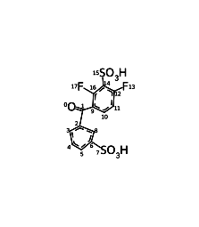 O=C(c1cccc(S(=O)(=O)O)c1)c1ccc(F)c(S(=O)(=O)O)c1F